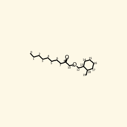 CCCCCCCCC(=O)COCC1CCCCC1C